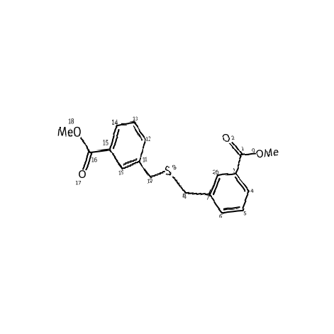 COC(=O)c1cccc(CSCc2cccc(C(=O)OC)c2)c1